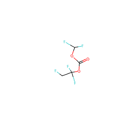 O=C(OC(F)F)OC(F)(F)CF